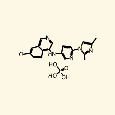 Cc1cn(-c2ccc(Nc3cncc4cc(Cl)ccc34)cn2)c(C)n1.O=P(O)(O)O